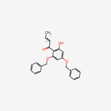 C/C=C/C(=O)c1c(O)cc(OCc2ccccc2)cc1OCc1ccccc1